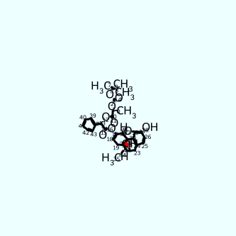 C[C@H](OC(=O)OC(C)(C)C)C(=O)O[C@H](C(=O)OC1=CC[C@@]2(O)[C@H]3Cc4ccc(O)c5c4[C@@]2(CCN3C)[C@H]1O5)c1ccccc1